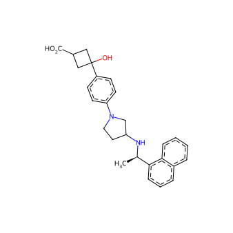 C[C@@H](NC1CCN(c2ccc(C3(O)CC(C(=O)O)C3)cc2)C1)c1cccc2ccccc12